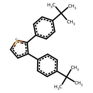 CC(C)(C)c1ccc(-c2ccsc2-c2ccc(C(C)(C)C)cc2)cc1